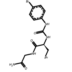 CC(C)C[C@H](NC(=O)Nc1ccc(Br)cc1)C(=O)NCC(N)=O